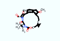 COc1cc2ccc3cc2cc1CCCC1(CCOC(=O)N[C@@H](C(C)(C)C)C(=O)N2C[C@@]3(OC)C[C@H]2C=O)CC1